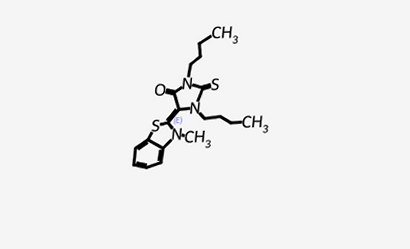 CCCCN1C(=O)/C(=C2\Sc3ccccc3N2C)N(CCCC)C1=S